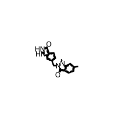 Cc1ccc2c(=O)n(Cc3ccc4c(=O)[nH][nH]c4c3)n(C)c2c1